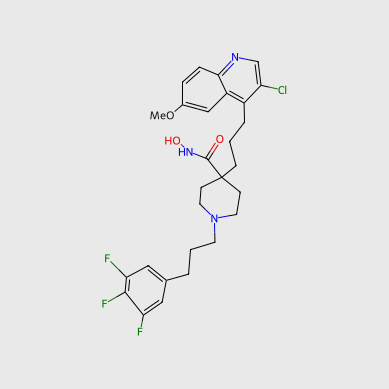 COc1ccc2ncc(Cl)c(CCCC3(C(=O)NO)CCN(CCCc4cc(F)c(F)c(F)c4)CC3)c2c1